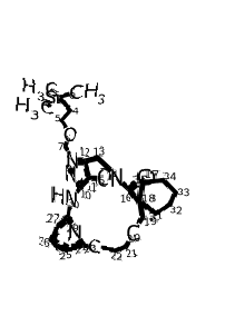 C[Si](C)(C)CCOCn1nc2c3c1CN(C3)C(=O)C1(CCCCCc3cccc(n3)N2)CCCCC1